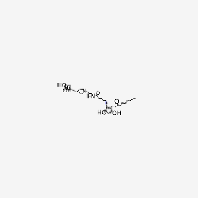 CCCCCCCC(=O)CC[C@@H]1[C@@H](C/C=C\CCCC(=O)NCCCN2CCC(CCCON(O)O)CC2)[C@@H](O)C[C@H]1O